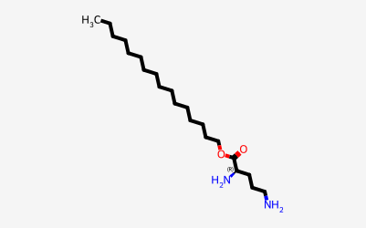 CCCCCCCCCCCCCCCCOC(=O)[C@H](N)CCCN